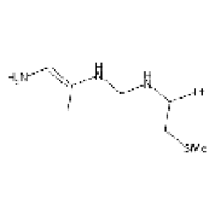 CCC(CSC)NCN/C(C)=C/N